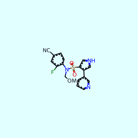 COCN(c1ccc(C#N)cc1F)S(=O)(=O)c1c[nH]cc1-c1cccnc1